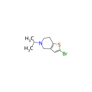 CC(C)N1CCc2sc(Br)cc2C1